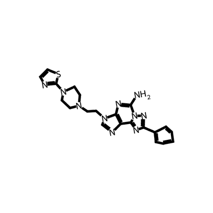 Nc1nc2c(ncn2CCN2CCN(c3nccs3)CC2)c2nc(-c3ccccc3)nn12